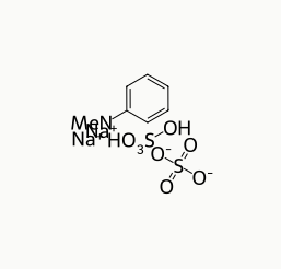 CNc1ccccc1.O=S(=O)(O)O.O=S(=O)([O-])[O-].[Na+].[Na+]